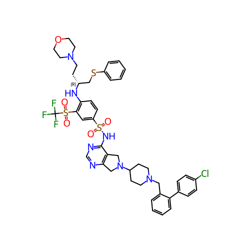 O=S(=O)(Nc1ncnc2c1CN(C1CCN(Cc3ccccc3-c3ccc(Cl)cc3)CC1)C2)c1ccc(N[C@H](CCN2CCOCC2)CSc2ccccc2)c(S(=O)(=O)C(F)(F)F)c1